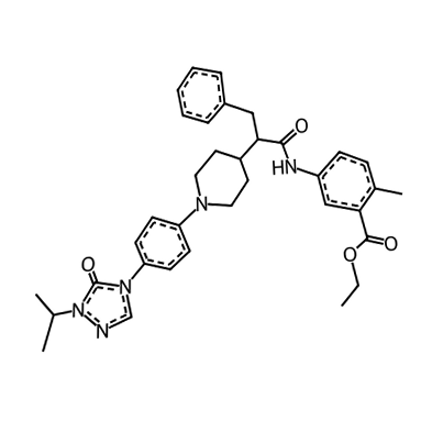 CCOC(=O)c1cc(NC(=O)C(Cc2ccccc2)C2CCN(c3ccc(-n4cnn(C(C)C)c4=O)cc3)CC2)ccc1C